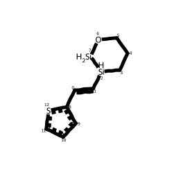 C(=C[SiH]1CCCO[SiH2]1)c1cccs1